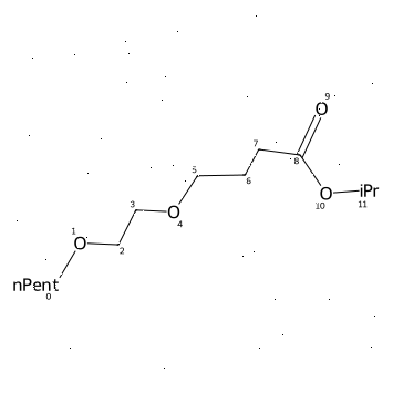 CCCCCOCCOCCCC(=O)OC(C)C